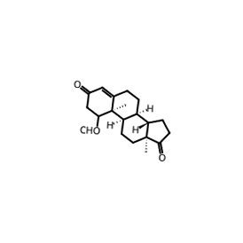 C[C@]12CC[C@@H]3[C@@H](CCC4=CC(=O)CC(C=O)[C@@]43C)[C@@H]1CCC2=O